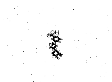 Cc1ccc(-c2cnn(-c3cccc(C(=O)O)c3)c2)cc1F